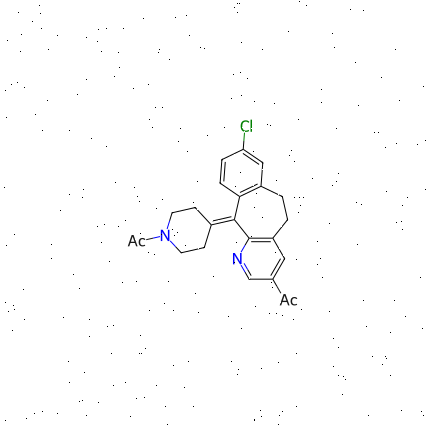 CC(=O)c1cnc2c(c1)CCc1cc(Cl)ccc1C2=C1CCN(C(C)=O)CC1